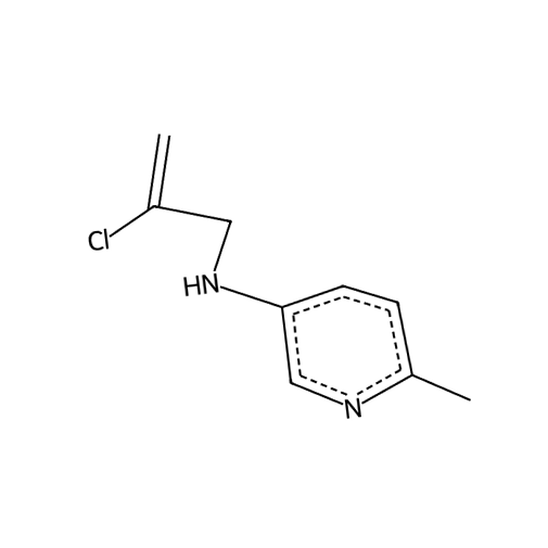 C=C(Cl)CNc1ccc(C)nc1